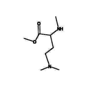 CNC(CCN(C)C)C(=O)OC